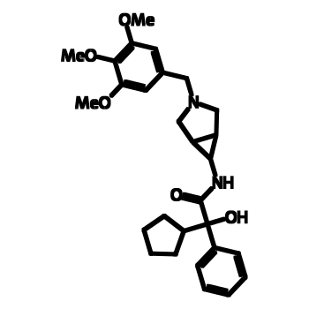 COc1cc(CN2CC3C(C2)C3NC(=O)C(O)(c2ccccc2)C2CCCC2)cc(OC)c1OC